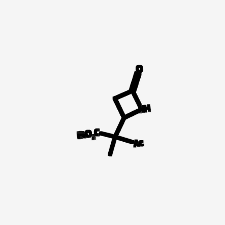 CCOC(=O)C(C)(C(C)=O)C1CC(=O)N1